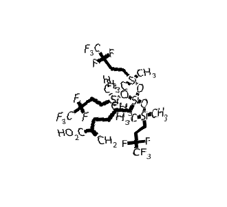 C=C(CCCC[Si](O[Si](C)(C)CCC(F)(F)C(F)(F)F)(O[Si](C)(C)CCC(F)(F)C(F)(F)F)O[Si](C)(C)CCC(F)(F)C(F)(F)F)C(=O)O